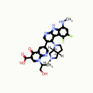 CNc1cc(F)c(F)c2c1[nH]c1ncc(-c3cnc4c(c3)c(=O)c(C(=O)O)cn4C(C)CO)c(N3CC[C@@H]4CN(C)C[C@@H]43)c12